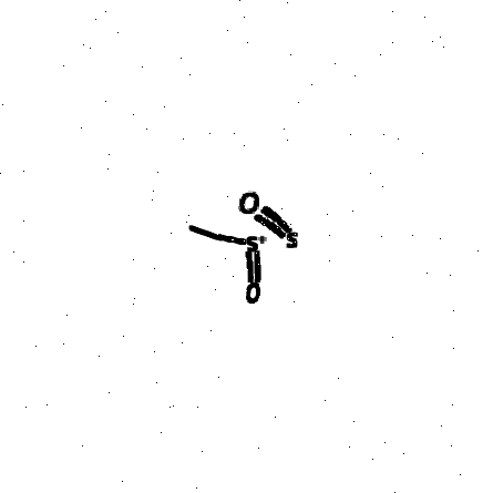 C[S+]=O.O=S